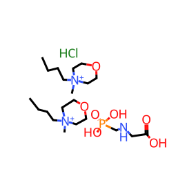 CCCC[N+]1(C)CCOCC1.CCCC[N+]1(C)CCOCC1.Cl.O=C(O)CNCP(=O)(O)O